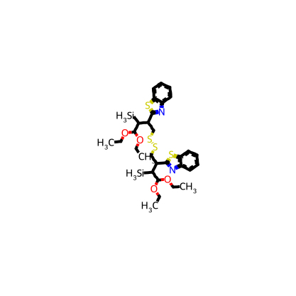 CCOC(OCC)C([SiH3])C(CSSCC(c1nc2ccccc2s1)C([SiH3])C(OCC)OCC)c1nc2ccccc2s1